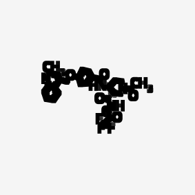 CC(=O)N1CC[C@@H](NC(=O)c2ccc(OCc3cc(C)nc4ccccc34)cc2)[C@@H](C(=O)NOC(=O)C(F)(F)F)C1